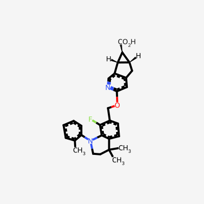 Cc1ccccc1N1CCC(C)(C)c2ccc(COc3cc4c(cn3)[C@H]3[C@@H](C4)[C@@H]3C(=O)O)c(F)c21